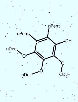 CCCCCCCCCCOc1c(CCCCC)c(CCCCC)c(O)c(OC(=O)O)c1OCCCCCCCCCC